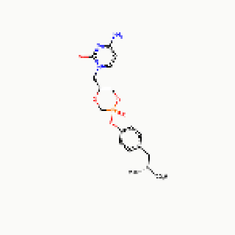 CN[C@H](Cc1ccc(OP2(=O)CO[C@@H](Cn3ccc(N)nc3=O)CO2)cc1)C(=O)O